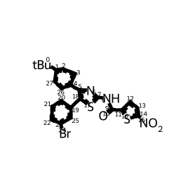 CC(C)(C)c1ccc(-c2nc(NC(=O)c3ccc([N+](=O)[O-])s3)sc2-c2cccc(Br)c2)cc1